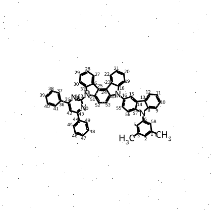 Cc1cc(C)cc(-n2c3ccccc3c3cc(-n4c5ccccc5c5c6c7ccccc7n(-c7nc(-c8ccccc8)cc(-c8ccccc8)n7)c6ccc54)ccc32)c1